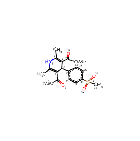 COC(=O)C1=C(C)NC(C)=C(C(=O)OC)C1c1ccc(S(C)(=O)=O)cc1